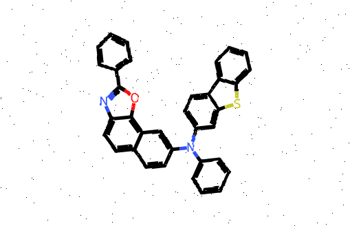 c1ccc(-c2nc3ccc4ccc(N(c5ccccc5)c5ccc6c(c5)sc5ccccc56)cc4c3o2)cc1